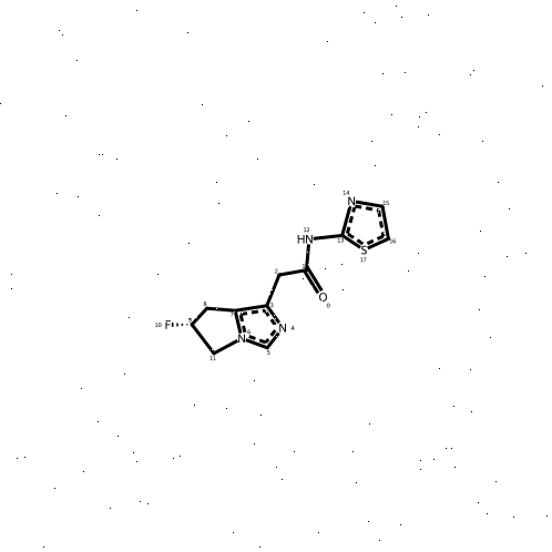 O=C(Cc1ncn2c1C[C@@H](F)C2)Nc1nccs1